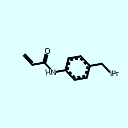 C=CC(=O)Nc1ccc(CC(C)C)cc1